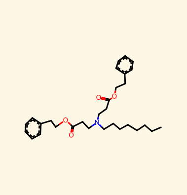 CCCCCCCCN(CCC(=O)OCCc1ccccc1)CCC(=O)OCCc1ccccc1